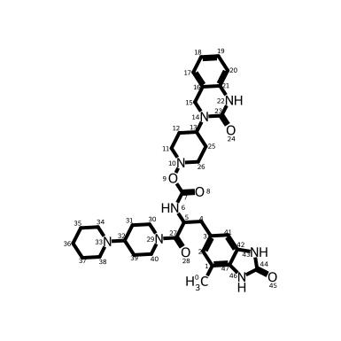 Cc1cc(CC(NC(=O)ON2CCC(N3Cc4ccccc4NC3=O)CC2)C(=O)N2CCC(N3CCCCC3)CC2)cc2[nH]c(=O)[nH]c12